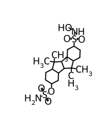 CC1(C)C2CCC(S(=O)(=O)NO)CC2C2C1C1CC(OS(N)(=O)=O)CCC1C2(C)C